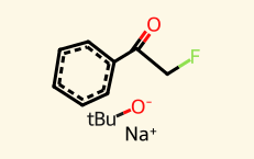 CC(C)(C)[O-].O=C(CF)c1ccccc1.[Na+]